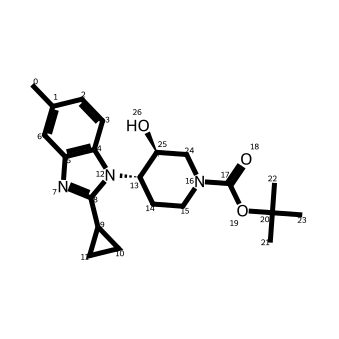 Cc1ccc2c(c1)nc(C1CC1)n2[C@H]1CCN(C(=O)OC(C)(C)C)C[C@@H]1O